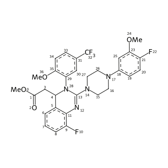 COC(=O)CC1c2cccc(F)c2N=C(N2CCN(c3ccc(F)c(OC)c3)CC2)N1c1cc(C(F)(F)F)ccc1OC